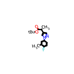 Cc1cc(-n2cc(C(C)C(=O)OC(C)(C)C)cn2)ccc1F